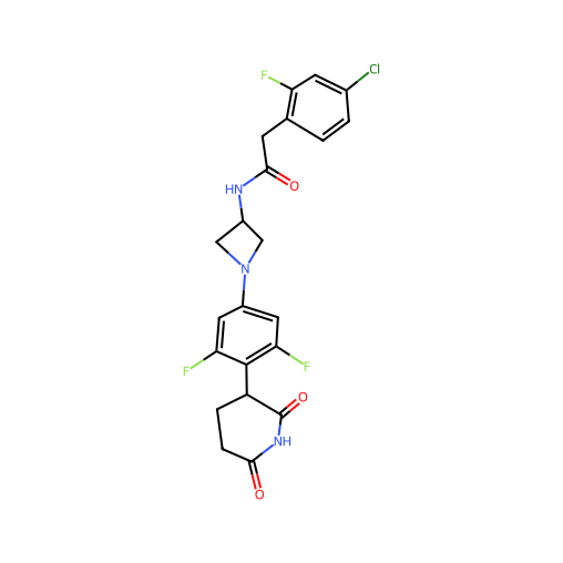 O=C1CCC(c2c(F)cc(N3CC(NC(=O)Cc4ccc(Cl)cc4F)C3)cc2F)C(=O)N1